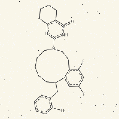 CCc1ccccc1CC1CCCCCN(c2nc3c(c(=O)[nH]2)CCCC3)CCc2c(F)cc(F)cc21